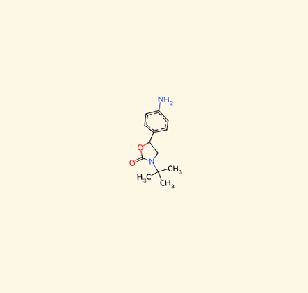 CC(C)(C)N1CC(c2ccc(N)cc2)OC1=O